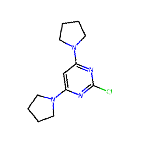 Clc1nc(N2CCCC2)cc(N2CCCC2)n1